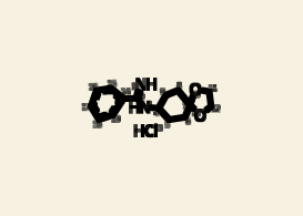 Cl.N=C(NC1CCC2(CC1)OCCO2)c1ccccc1